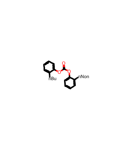 CCCCCCCCCc1ccccc1OC(=O)Oc1ccccc1CCCC